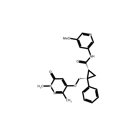 COc1cncc(NC(=O)[C@@H]2C[C@@]2(COc2cc(=O)n(C)nc2C)c2ccccc2)c1